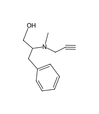 C#CCN(C)C(CO)Cc1ccccc1